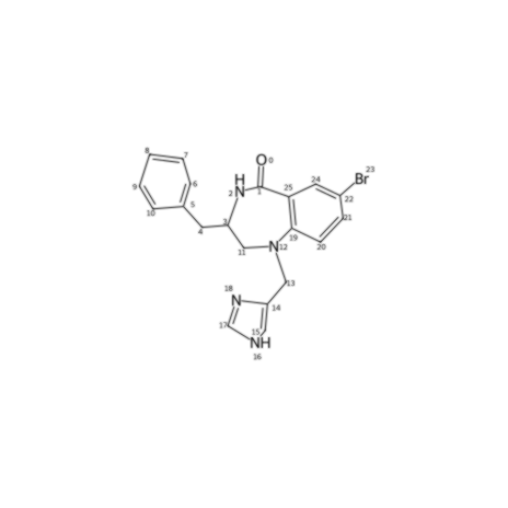 O=C1NC(Cc2ccccc2)CN(Cc2c[nH]cn2)c2ccc(Br)cc21